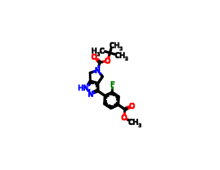 COC(=O)c1ccc(-c2n[nH]c3c2CN(C(=O)OC(C)(C)C)C3)c(F)c1